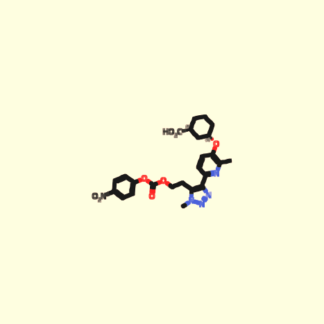 Cc1nc(-c2nnn(C)c2CCOC(=O)Oc2ccc([N+](=O)[O-])cc2)ccc1O[C@H]1CCC[C@H](C(=O)O)C1